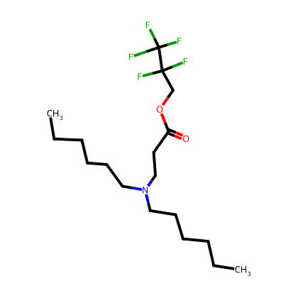 CCCCCCN(CCCCCC)CCC(=O)OCC(F)(F)C(F)(F)F